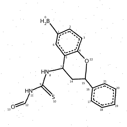 Bc1ccc2c(c1)C(NC(=S)NC=O)CC(c1ccccc1)O2